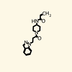 C=CC(=O)NC1CCN(C(=O)CCn2ncc3ccccc32)CC1